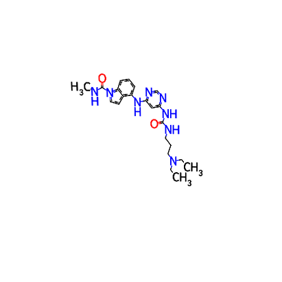 CCN(CC)CCCNC(=O)Nc1cc(Nc2cccc3c2ccn3C(=O)NC)ncn1